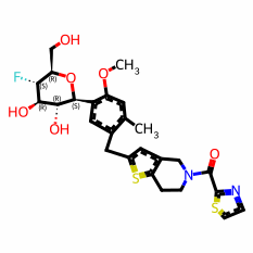 COc1cc(C)c(Cc2cc3c(s2)CCN(C(=O)c2nccs2)C3)cc1[C@@H]1O[C@H](CO)[C@@H](F)[C@H](O)[C@H]1O